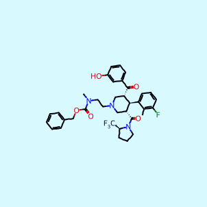 Cc1c(F)cccc1[C@@H]1[C@@H](C(=O)c2cccc(O)c2)CN(CCN(C)C(=O)OCc2ccccc2)C[C@H]1C(=O)N1CCC[C@H]1C(F)(F)F